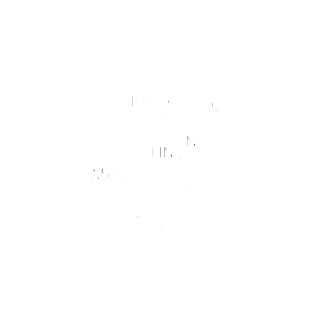 CCOC(=O)/C(C)=N\Nc1ccccc1OC